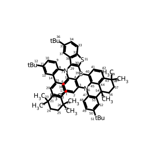 Cc1cc2c3c(c1)N(c1ccc(C(C)(C)C)cc1-c1ccc4c(c1)C(C)(C)CCC4(C)C)c1c(sc4ccc(C(C)(C)C)cc14)B3c1ccc3c4c1N2c1ccc(C(C)(C)C)cc1C4(C)CCC3(C)C